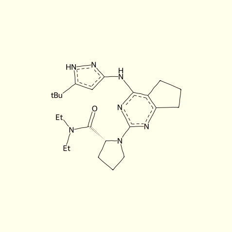 CCN(CC)C(=O)[C@H]1CCCN1c1nc2c(c(Nc3cc(C(C)(C)C)[nH]n3)n1)CCC2